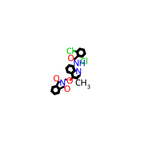 Cc1cnc2c(NC(=O)c3c(Cl)cccc3Cl)cccc2c1OCN1C(=O)c2ccccc2C1=O